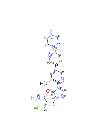 Cc1cc(-c2ccc(N3CCNCC3)nc2)cnc1-n1cnn(C/C(=C/F)CN)c1=O